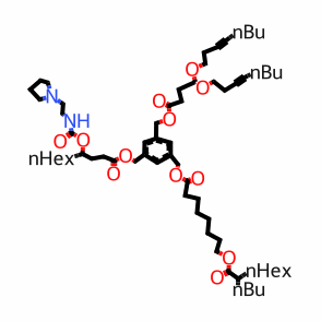 CCCCC#CCCOC(CCC(=O)OCc1cc(COC(=O)CCCCCCCOC(=O)C(CCCC)CCCCCC)cc(COC(=O)CCC(CCCCCC)OC(=O)NCCN2CCCC2)c1)OCCC#CCCCC